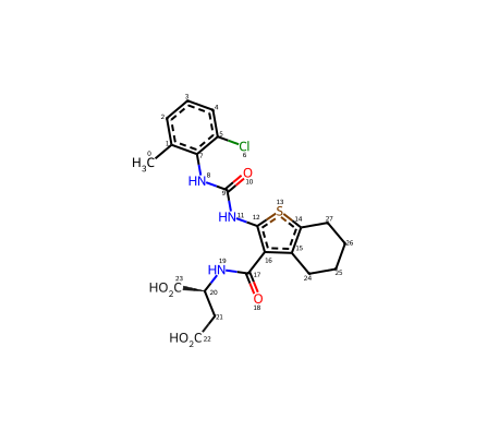 Cc1cccc(Cl)c1NC(=O)Nc1sc2c(c1C(=O)N[C@@H](CC(=O)O)C(=O)O)CCCC2